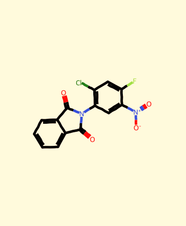 O=C1c2ccccc2C(=O)N1c1cc([N+](=O)[O-])c(F)cc1Cl